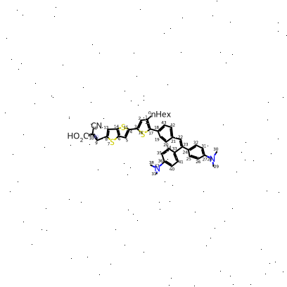 CCCCCCc1cc(-c2cc3sc(/C=C(\C#N)C(=O)O)cc3s2)sc1-c1ccc(C=C(c2ccc(N(C)C)cc2)c2ccc(N(C)C)cc2)cc1